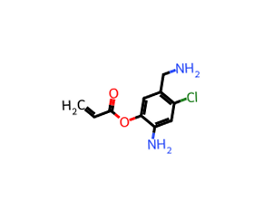 C=CC(=O)Oc1cc(CN)c(Cl)cc1N